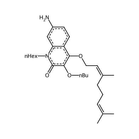 CCCCCCn1c(=O)c(OCCCC)c(OCC=C(C)CCC=C(C)C)c2ccc(N)cc21